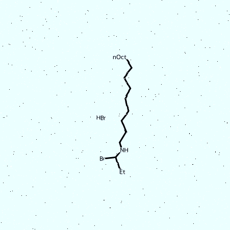 Br.CCCCCCCCCCCCCCCCNC(Br)CC